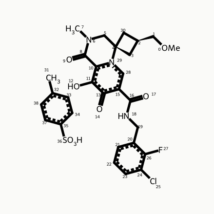 COC[C@H]1C[C@@]2(CN(C)C(=O)c3c(O)c(=O)c(C(=O)NCc4cccc(Cl)c4F)cn32)C1.Cc1ccc(S(=O)(=O)O)cc1